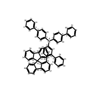 c1ccc(-c2ccc(N(c3ccc(-c4ccccc4)cc3)c3ccc(-c4cccc5c4C4(c6ccccc6-c6ccccc64)c4ccccc4-5)c(-c4ccccc4)c3)cc2)cc1